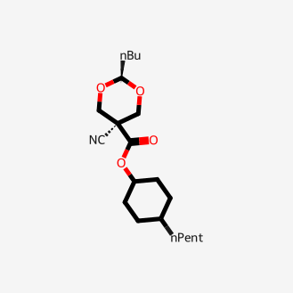 CCCCCC1CCC(OC(=O)[C@]2(C#N)CO[C@H](CCCC)OC2)CC1